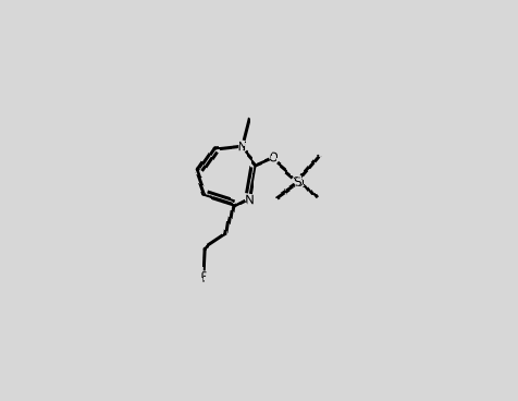 CN1C=CC=C(CCF)N=C1O[Si](C)(C)C